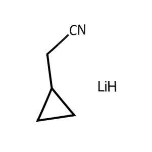 N#CCC1CC1.[LiH]